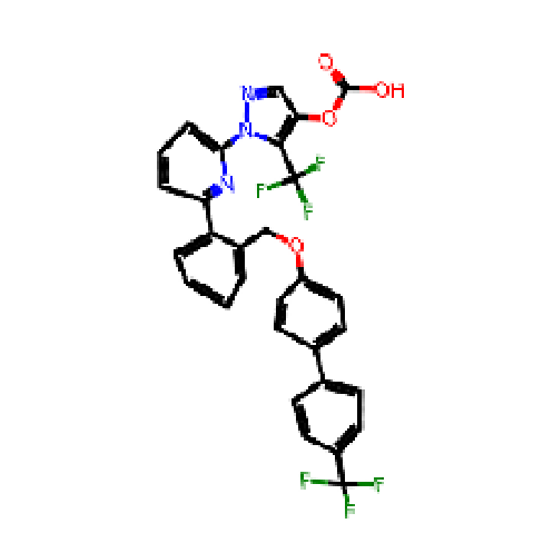 O=C(O)Oc1cnn(-c2cccc(-c3ccccc3COc3ccc(-c4ccc(C(F)(F)F)cc4)cc3)n2)c1C(F)(F)F